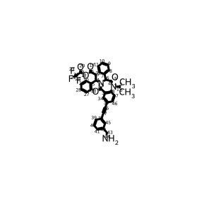 CC(C)N1C(=O)C(c2ccccc2)N(C(CC(=O)OC(=O)C(F)(F)F)c2ccccc2)C(=O)c2cc(C#Cc3cccc(CN)c3)ccc21